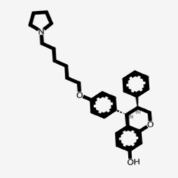 Oc1ccc2c(c1)OC[C@H](c1ccccc1)[C@H]2c1ccc(OCCCCCCN2CCCC2)cc1